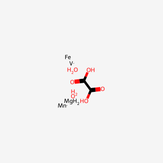 O.O.O=C(O)C(=O)O.[Fe].[MgH2].[Mn].[V]